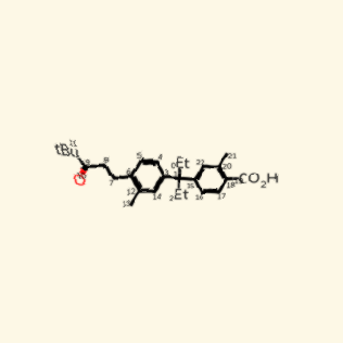 CCC(CC)(c1ccc(CCC(=O)C(C)(C)C)c(C)c1)c1ccc(C(=O)O)c(C)c1